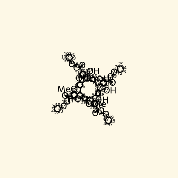 COc1cc(O)c2cc1C(c1ccc(C(=O)OCOC3CCCCC3)cc1)c1cc(c(OC)cc1O)C(c1ccc(C(=O)OCOC3CCCCC3)cc1)c1cc(c(CO)cc1O)C(c1ccc(C(=O)OCOC3CCCCC3)cc1)c1cc(c(CO)cc1O)C2c1ccc(C(=O)OCOC2CCCCC2)cc1